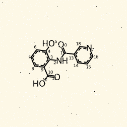 O=C(Nc1c(O)cccc1C(=O)O)c1cccnc1